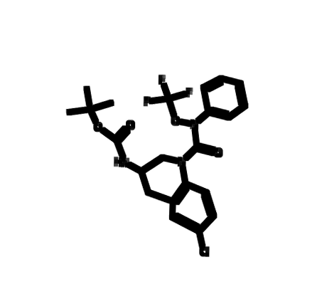 CC(C)(C)OC(=O)NC1Cc2cc(Cl)ccc2N(C(=O)N(OC(F)(F)F)c2ccccc2)C1